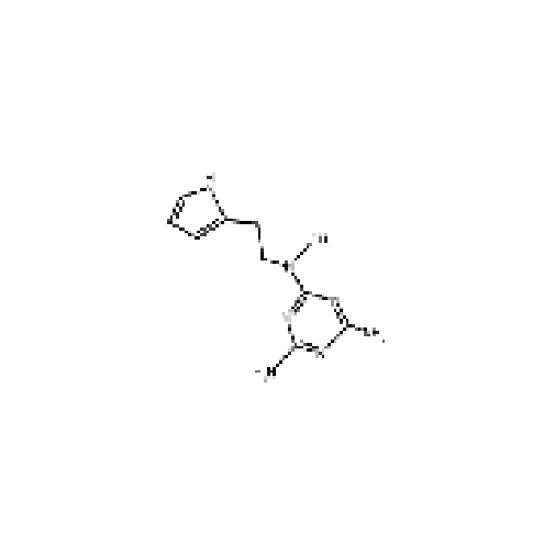 CN(CCc1ccc[nH]1)c1nc(N)nc(N)n1